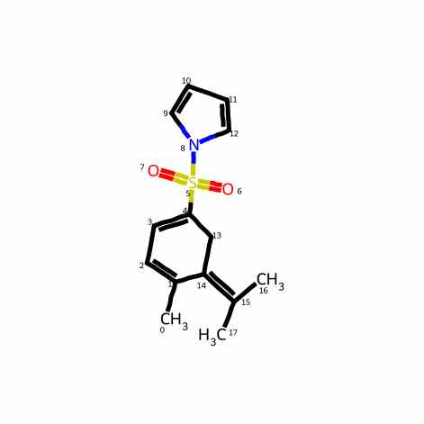 CC1=CC=C(S(=O)(=O)n2cccc2)CC1=C(C)C